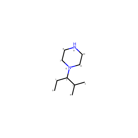 CCC(C(C)C)N1CCNCC1